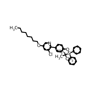 CCCCCCCCOc1cnc(-c2ccc(O[Si](c3ccccc3)(c3ccccc3)C(C)(C)C)cc2)c(Cl)c1